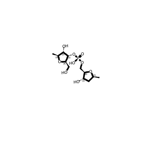 C[C@@H]1O[C@H](CO)[C@@H](OP(=O)(O)OC[C@H]2O[C@@H](C)C[C@@H]2O)[C@H]1O